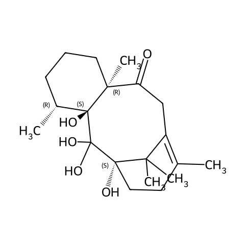 CC1=C2CC(=O)[C@]3(C)CCC[C@@H](C)[C@@]3(O)C(O)(O)[C@](O)(CC1)C2(C)C